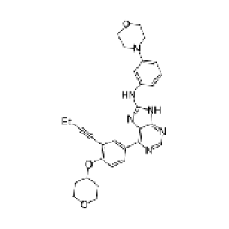 CCC#Cc1cc(-c2ncnc3[nH]c(Nc4cccc(N5CCOCC5)c4)nc23)ccc1OC1CCOCC1